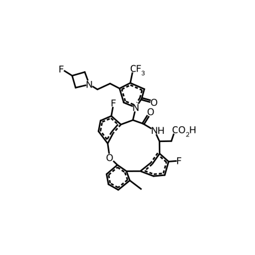 Cc1cccc2c1-c1ccc(F)c(c1)C(CC(=O)O)NC(=O)C(n1cc(CCN3CC(F)C3)c(C(F)(F)F)cc1=O)c1cc(ccc1F)O2